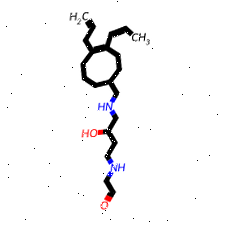 C=CC/C1=C(\C=C/C)CCC(CNCC(O)CCNCC=O)CCC1